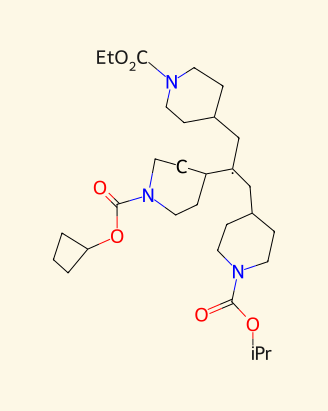 CCOC(=O)N1CCC(C[C](CC2CCN(C(=O)OC(C)C)CC2)C2CCN(C(=O)OC3CCC3)CC2)CC1